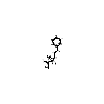 O=S(=O)(CCCc1ccccc1)C(I)I